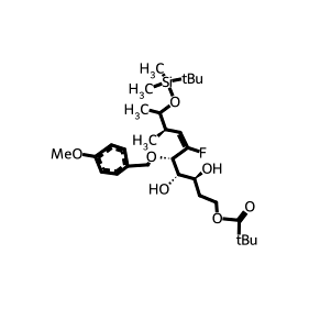 COc1ccc(CO[C@H](/C(F)=C\[C@@H](C)C(C)O[Si](C)(C)C(C)(C)C)[C@@H](O)[C@@H](O)CCOC(=O)C(C)(C)C)cc1